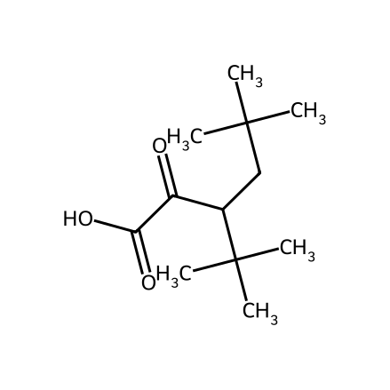 CC(C)(C)CC(C(=O)C(=O)O)C(C)(C)C